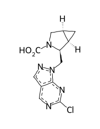 O=C(O)N1C[C@H]2C[C@H]2[C@H]1Cn1ncc2cnc(Cl)nc21